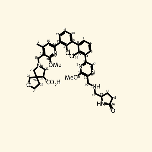 COc1nc(-c2cccc(-c3cccc(-c4cc(C)c(CN5CC(C(=O)O)C6(CCOC6)C5)c(OC)n4)c3Cl)c2Cl)cnc1CNCC1CCC(=O)N1